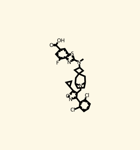 CN(c1nc2c(F)cc(C(=O)O)cc2s1)C1CC2(C1)CC1CCC(C2)N1Cc1c(-c2c(Cl)cccc2Cl)noc1C1CC1